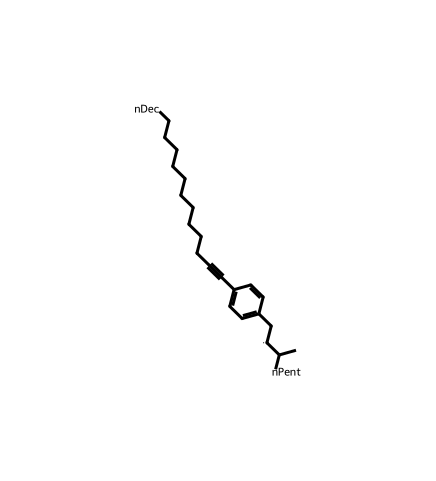 CCCCCCCCCCCCCCCCCCCCC#Cc1ccc(C[CH]C(C)CCCCC)cc1